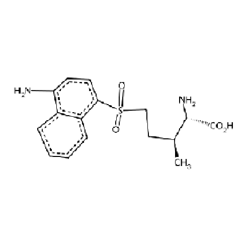 C[C@@H](CCS(=O)(=O)c1ccc(N)c2ccccc12)[C@H](N)C(=O)O